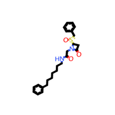 O=C(CN1C(=O)CC1[S+]([O-])Cc1ccccc1)NCCCCCCCc1ccccc1